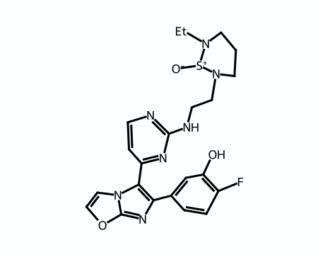 CCN1CCCN(CCNc2nccc(-c3c(-c4ccc(F)c(O)c4)nc4occn34)n2)[S+]1[O-]